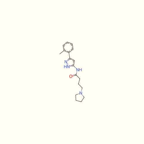 Cc1ccccc1-c1cc(NC(=O)CCCN2CCCC2)[nH]n1